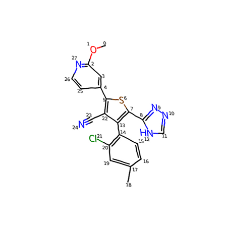 COc1cc(-c2sc(-c3nnc[nH]3)c(-c3ccc(C)cc3Cl)c2C#N)ccn1